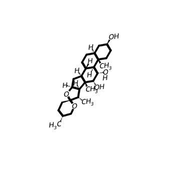 C[C@@H]1CC[C@@]2(OC1)O[C@H]1C[C@H]3[C@@H]4CC[C@H]5C[C@@H](O)CC[C@]5(C)[C@H]4[C@H](O)[C@H](O)[C@]3(C)[C@H]1[C@@H]2C